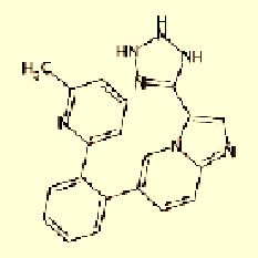 Cc1cccc(-c2ccccc2-c2ccc3ncc(C4=NNNN4)n3c2)n1